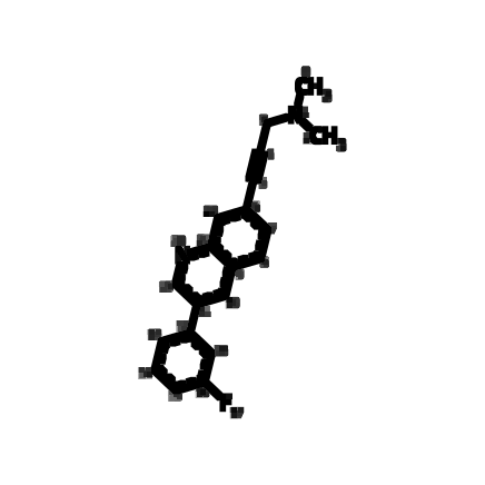 CN(C)CC#Cc1ccc2cc(-c3cccc(F)c3)cnc2c1